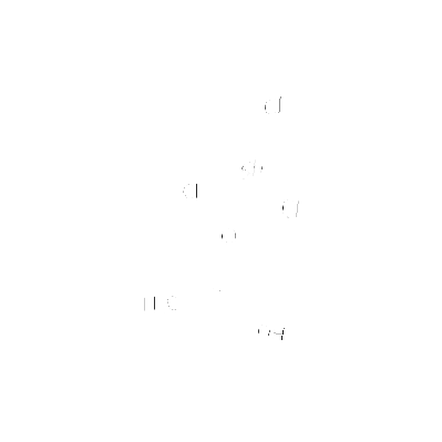 CC(=O)O.[Cl][Sb]([Cl])[Cl]